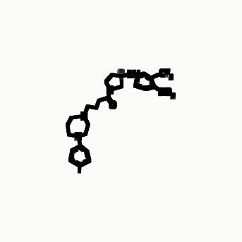 Cc1ccc(N2CCCN(CCCC(=O)N3CC[C@@H](Nc4ccc([N+](=O)[O-])c(C(F)(F)F)c4)C3)CC2)cc1